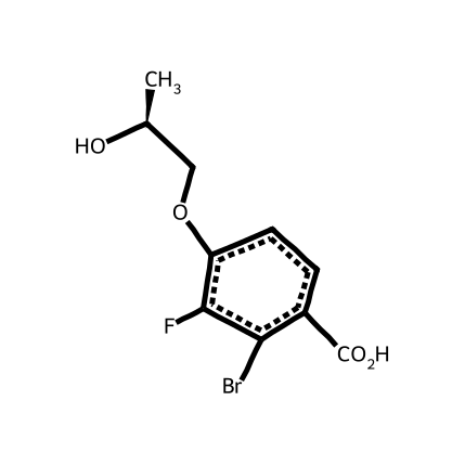 C[C@H](O)COc1ccc(C(=O)O)c(Br)c1F